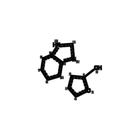 Oc1ccco1.c1ccc2[nH]cnc2c1